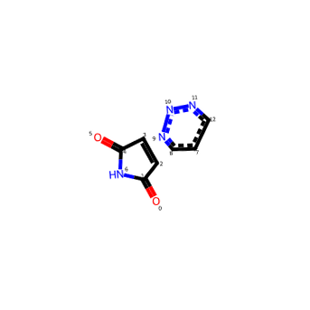 O=C1C=CC(=O)N1.c1cnnnc1